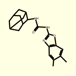 Cc1cc2nc(NC(=O)NC3C4CC5CC(C4)CC3C5)oc2cc1C